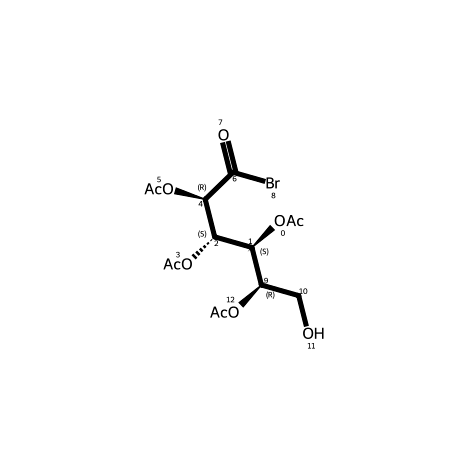 CC(=O)O[C@H]([C@H](OC(C)=O)[C@@H](OC(C)=O)C(=O)Br)[C@@H](CO)OC(C)=O